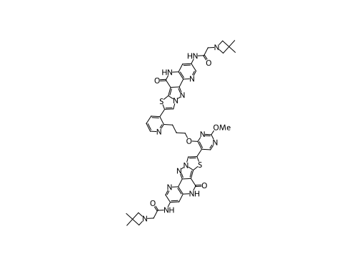 COc1ncc(-c2cn3nc4c5ncc(NC(=O)CN6CC(C)(C)C6)cc5[nH]c(=O)c4c3s2)c(OCCCc2ncccc2-c2cn3nc4c5ncc(NC(=O)CN6CC(C)(C)C6)cc5[nH]c(=O)c4c3s2)n1